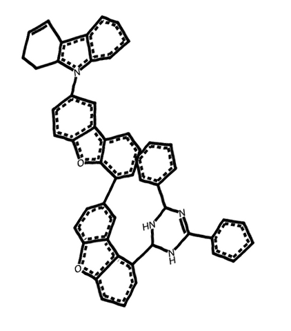 C1=Cc2c(n(-c3ccc4oc5c(-c6ccc7oc8cccc(C9NC(c%10ccccc%10)=NC(c%10ccccc%10)N9)c8c7c6)cccc5c4c3)c3ccccc23)CC1